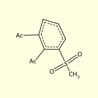 CC(=O)c1cccc(S(C)(=O)=O)c1C(C)=O